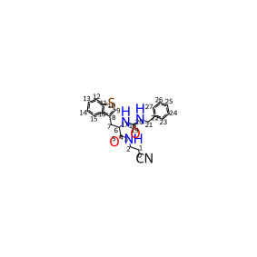 N#CCCNC(=O)C(Cc1csc2ccccc12)NC(=O)NCc1ccccc1